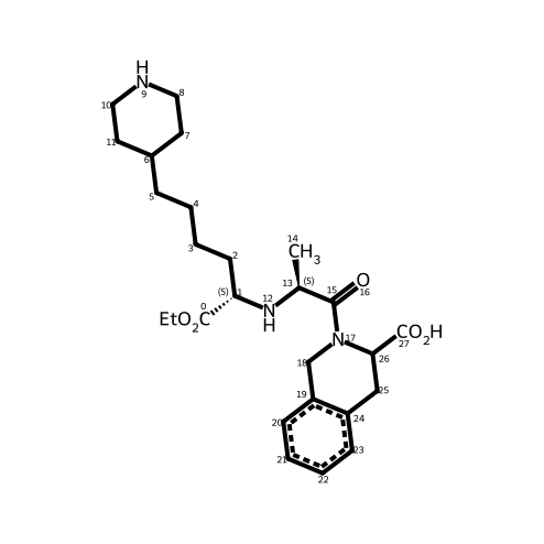 CCOC(=O)[C@H](CCCCC1CCNCC1)N[C@@H](C)C(=O)N1Cc2ccccc2CC1C(=O)O